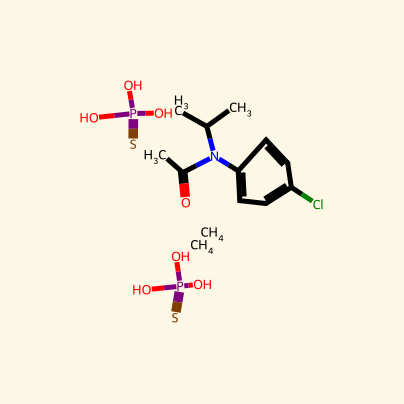 C.C.CC(=O)N(c1ccc(Cl)cc1)C(C)C.OP(O)(O)=S.OP(O)(O)=S